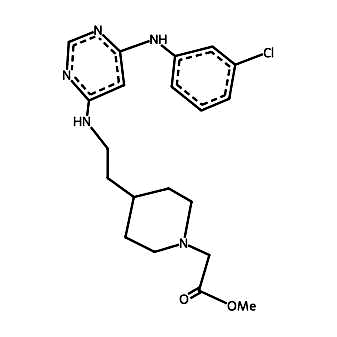 COC(=O)CN1CCC(CCNc2cc(Nc3cccc(Cl)c3)ncn2)CC1